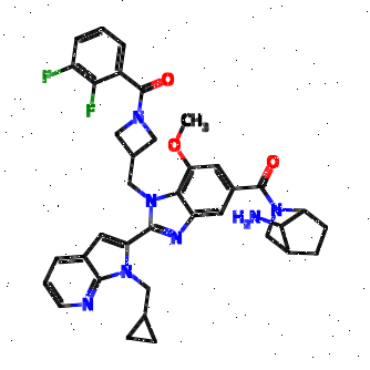 COc1cc(C(=O)N2CC3CCC2C3N)cc2nc(-c3cc4cccnc4n3CC3CC3)n(CC3CN(C(=O)c4cccc(F)c4F)C3)c12